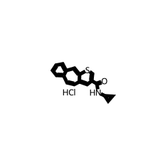 Cl.O=C(NC1CC1)C1=CSC2=Cc3ccccc3C=CC2=C1